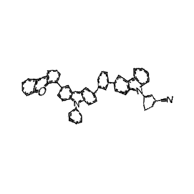 N#CC1=CCCC(n2c3ccccc3c3cc(-c4cccc(-c5ccc6c(c5)c5cc(-c7cccc8c7oc7ccccc78)ccc5n6-c5ccccc5)c4)ccc32)=C1